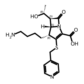 C[C@@H](O)[C@H]1C(=O)N2C(C(=O)O)=C(SCc3ccncc3)[C@H](CCCCN)[C@H]12